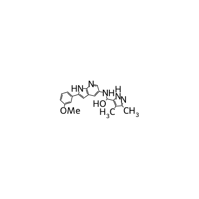 COc1cccc(-c2cc3cc(NC(O)c4[nH]nc(C)c4C)cnc3[nH]2)c1